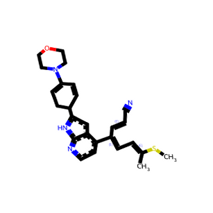 CS/C(C)=C/C=C(\C=C\C#N)c1ccnc2[nH]c(C3C=CC(N4CCOCC4)=CC3)cc12